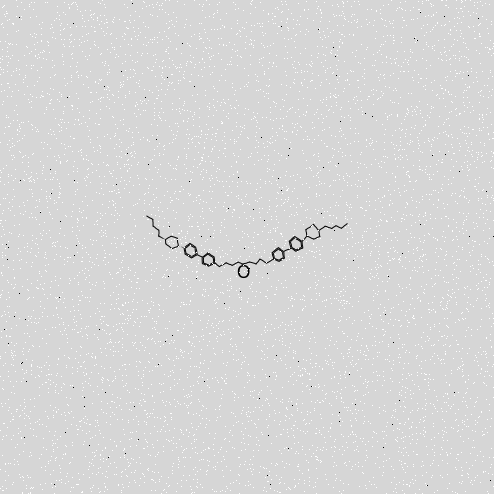 CCCCCC1CCC(c2ccc(-c3ccc(CCCCC(=O)CCCCc4ccc(-c5ccc([C@H]6CC[C@H](CCCCC)CC6)cc5)cc4)cc3)cc2)CC1